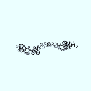 CC1(C)OCc2cc(C3CN(CCCCCCOCCCCc4cccc(S(N)(=O)=O)c4)C(=O)O3)ccc2O1